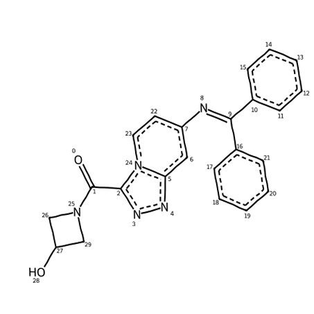 O=C(c1nnc2cc(N=C(c3ccccc3)c3ccccc3)ccn12)N1CC(O)C1